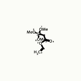 C=COC(=O)C[Si](OC)(OC)OC